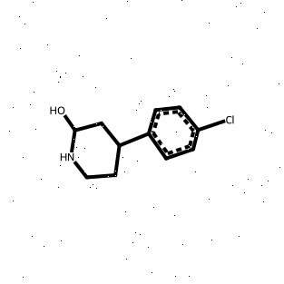 OC1CC(c2ccc(Cl)cc2)CCN1